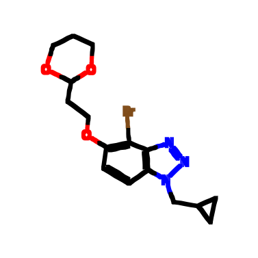 Brc1c(OCCC2OCCCO2)ccc2c1nnn2CC1CC1